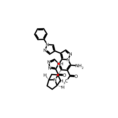 CC(=O)c1c([C@@H]2C[C@H]3CC[C@@H](C2)N3C(=O)c2nnc[nH]2)nc2c(-c3cnn(-c4ccccc4)c3)cnn2c1N